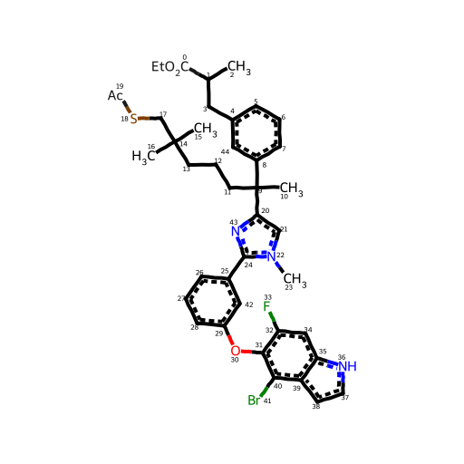 CCOC(=O)C(C)Cc1cccc(C(C)(CCCC(C)(C)CSC(C)=O)c2cn(C)c(-c3cccc(Oc4c(F)cc5[nH]ccc5c4Br)c3)n2)c1